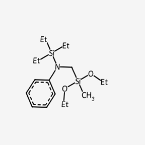 CCO[Si](C)(CN(c1ccccc1)[Si](CC)(CC)CC)OCC